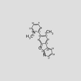 Cc1cc2c(cc1-c1cccc[n+]1C)oc1ncccc12